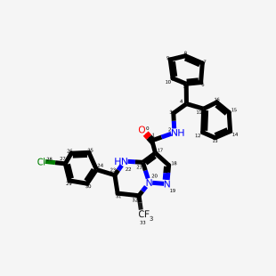 O=C(NCC(c1ccccc1)c1ccccc1)c1cnn2c1NC(c1ccc(Cl)cc1)CC2C(F)(F)F